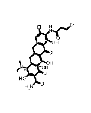 CN(C)[C@@H]1C(O)=C(C(N)=O)C(=O)[C@@]2(O)C(O)=C3C(=O)c4c(cc(Cl)c(NC(=O)CCBr)c4O)CC3CC12